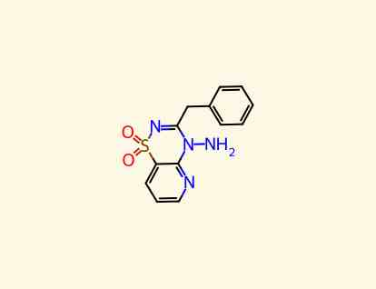 NN1C(Cc2ccccc2)=NS(=O)(=O)c2cccnc21